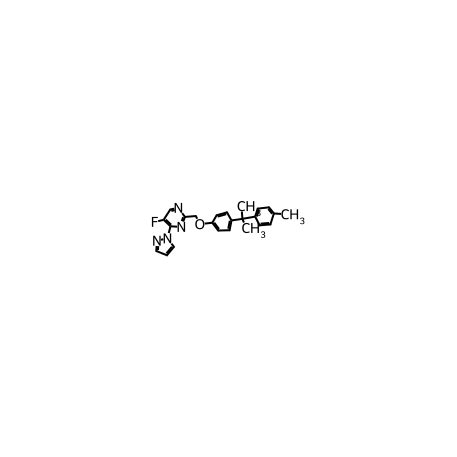 Cc1ccc(C(C)(C)c2ccc(OCc3ncc(F)c(-n4cccn4)n3)cc2)cc1